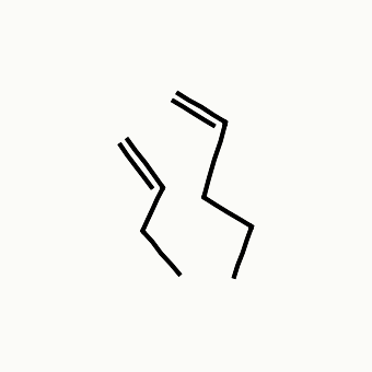 C=CCC.C=CCCC